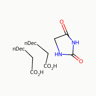 CCCCCCCCCCCC(=O)O.CCCCCCCCCCCC(=O)O.O=C1CNC(=O)N1